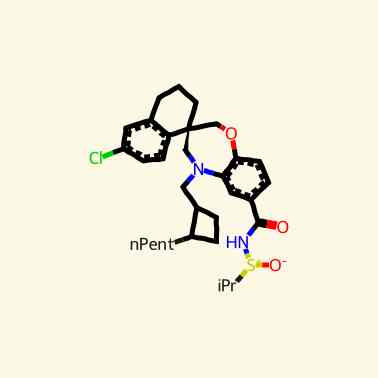 CCCCCC1CCC1CN1C[C@@]2(CCCc3cc(Cl)ccc32)COc2ccc(C(=O)N[S+]([O-])C(C)C)cc21